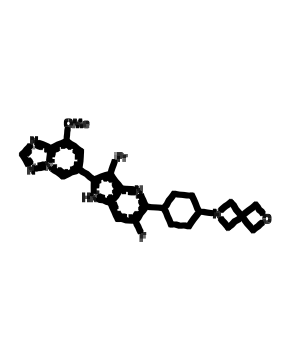 COc1cc(-c2[nH]c3cc(F)c(C4CCC(N5CC6(COC6)C5)CC4)nc3c2C(C)C)cn2ncnc12